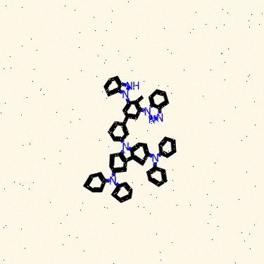 Cc1c(-n2nnc3ccccc32)cc(-c2cccc(-n3c4ccc(N(c5ccccc5)c5ccccc5)cc4c4cc(N(c5ccccc5)c5ccccc5)ccc43)c2)cc1-n1[nH]c2ccccc21